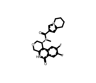 CN(C(=O)c1cc2n(c1)CCCC2)[C@@H]1COCc2[nH]c(=O)c3cc(F)c(F)cc3c21